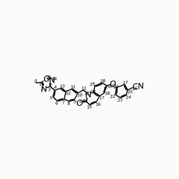 Cc1nc(-c2ccc3ccc(Cn4c(=O)ccc5cc(Oc6cccc(C#N)c6)ccc54)cc3c2)no1